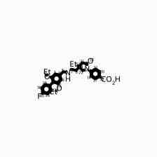 CCOc1cc(CNCCC2(CC)CC(=O)N(c3ccc(C(=O)O)cc3)C2)cc(OCC)c1-c1ccc(F)cc1